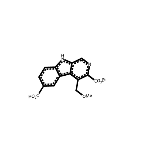 CCOC(=O)c1ncc2[nH]c3ccc(C(=O)O)cc3c2c1COC